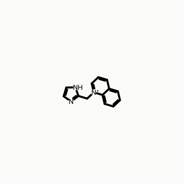 c1ccc2c(c1)ccc[n+]2Cc1ncc[nH]1